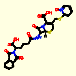 O=C(CCCC(C(=O)O)N1C(=O)c2ccccc2C1=O)N[C@H]1C(=O)N2C(C(=O)O)=C(CSc3cccc[n+]3[O-])CS[C@@H]12